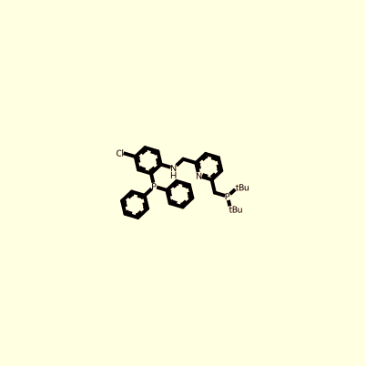 CC(C)(C)P(Cc1cccc(CNc2ccc(Cl)cc2P(c2ccccc2)c2ccccc2)n1)C(C)(C)C